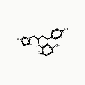 Clc1ccc(CCC(Cn2ccnc2)Oc2cc(Cl)ccc2Cl)cc1